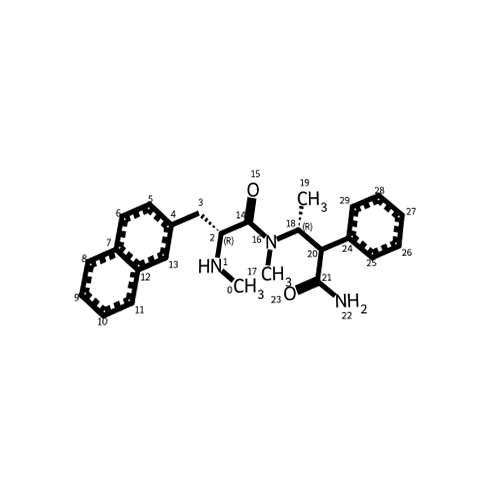 CN[C@H](Cc1ccc2ccccc2c1)C(=O)N(C)[C@H](C)C(C(N)=O)c1ccccc1